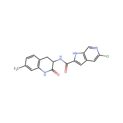 O=C(NC1Cc2ccc(C(F)(F)F)cc2NC1=O)c1cc2cc(Cl)ncc2[nH]1